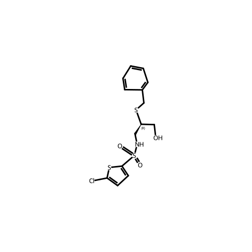 O=S(=O)(NC[C@H](CO)SCc1ccccc1)c1ccc(Cl)s1